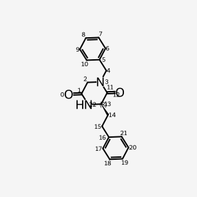 O=C1CN(Cc2ccccc2)C(=O)[C@@H](CCc2ccccc2)N1